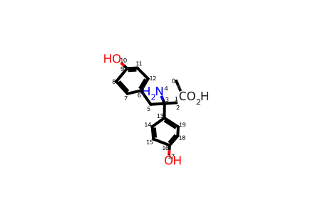 CC(=O)O.CC(N)(Cc1ccc(O)cc1)c1ccc(O)cc1